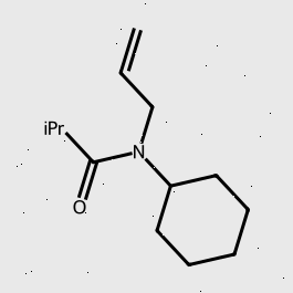 C=CCN(C(=O)C(C)C)C1CCCCC1